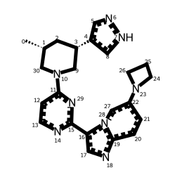 C[C@@H]1C[C@H](c2cn[nH]c2)CN(c2ccnc(-c3cnc4ccc(N5CCC5)cn34)n2)C1